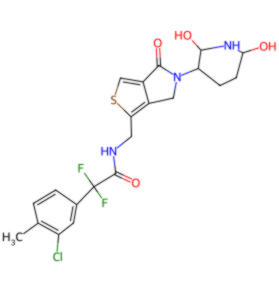 Cc1ccc(C(F)(F)C(=O)NCc2scc3c2CN(C2CCC(O)NC2O)C3=O)cc1Cl